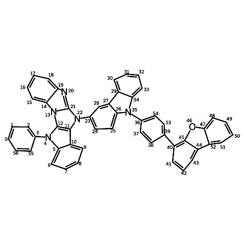 c1ccc(-n2c3ccccc3c3c2n2c4ccccc4nc2n3-c2ccc3c(c2)c2ccccc2n3-c2ccc(-c3cccc4c3oc3ccccc34)cc2)cc1